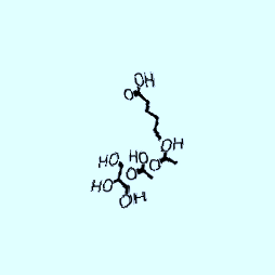 CC(=O)O.CC(=O)O.CCCCCC(=O)O.OCC(O)CO